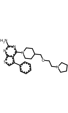 Nc1nc(N2CCC(COCCN3CCCC3)CC2)c2c(-c3ccccc3)csc2n1